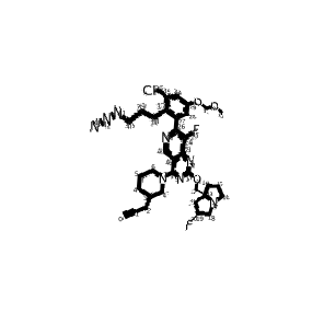 C#CCC1CCCN(c2nc(OC[C@@]34CCCN3C[C@H](F)C4)nc3c(F)c(-c4cc(OCOC)cc(Cl)c4CCCN=[N+]=[N-])ncc23)C1